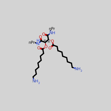 CCCNC(=O)[C@H](OC(=O)CCCCCCCCN)[C@@H](OC(=O)CCCCCCCCN)C(=O)NCCC